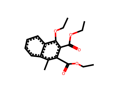 CCOC(=O)c1c(C(=O)OCC)c(OCC)c2ccccc2c1C